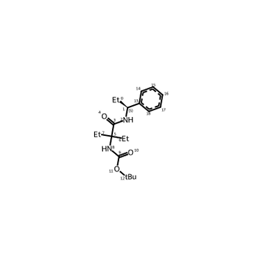 CC[C@H](NC(=O)C(CC)(CC)NC(=O)OC(C)(C)C)c1ccccc1